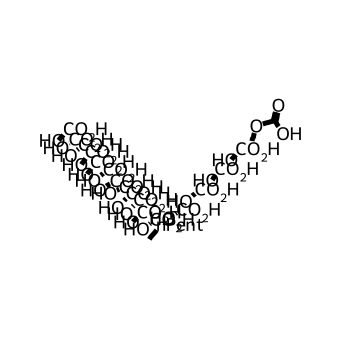 CCCCCC.COC(=O)O.O=C(O)O.O=C(O)O.O=C(O)O.O=C(O)O.O=C(O)O.O=C(O)O.O=C(O)O.O=C(O)O.O=C(O)O.O=C(O)O.O=C(O)O.O=C(O)O.O=C(O)O.O=C(O)O.O=C(O)O.O=C(O)O